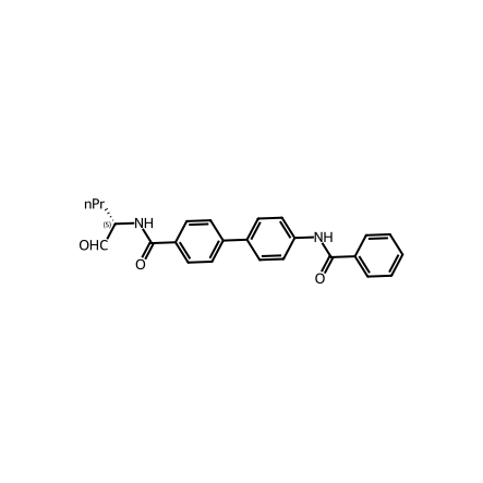 CCC[C@@H](C=O)NC(=O)c1ccc(-c2ccc(NC(=O)c3ccccc3)cc2)cc1